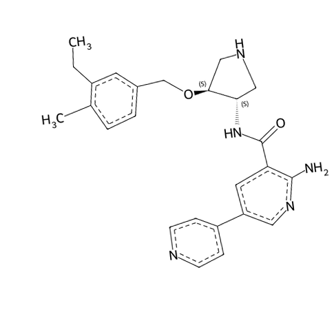 CCc1cc(CO[C@H]2CNC[C@@H]2NC(=O)c2cc(-c3ccncc3)cnc2N)ccc1C